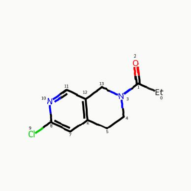 CCC(=O)N1CCc2cc(Cl)ncc2C1